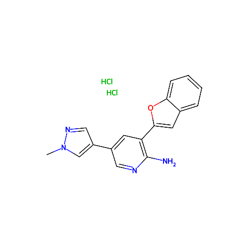 Cl.Cl.Cn1cc(-c2cnc(N)c(-c3cc4ccccc4o3)c2)cn1